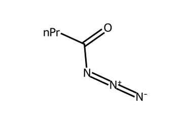 [CH2]CCC(=O)N=[N+]=[N-]